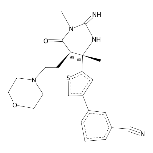 CN1C(=N)N[C@](C)(c2cc(-c3cccc(C#N)c3)cs2)[C@@H](CCN2CCOCC2)C1=O